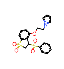 O=S1(=O)CC(S(=O)(=O)c2ccccc2)c2c(OCCn3cccc3)cccc21